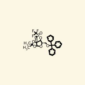 CC1(C)OC2O[C@H](COC(c3ccccc3)(c3ccccc3)c3ccccc3)[C@H](OS(=O)(=O)C(F)(F)F)[C@@H]2O1